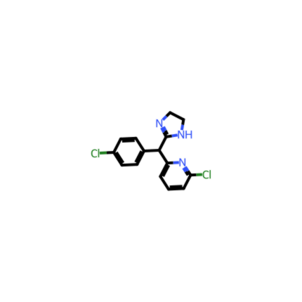 Clc1ccc(C(C2=NCCN2)c2cccc(Cl)n2)cc1